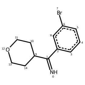 N=C(c1cccc(Br)c1)C1CCOCC1